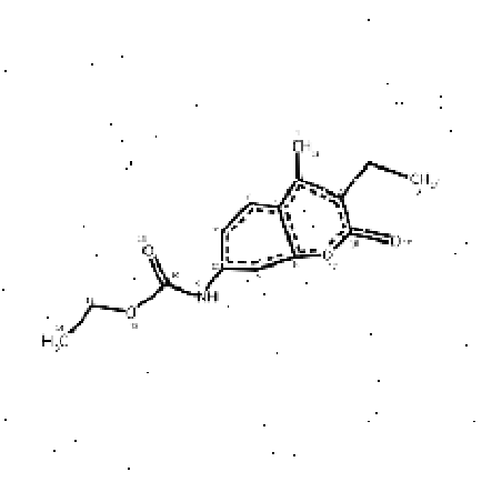 [CH2]Cc1c(C)c2ccc(NC(=O)OCC)cc2oc1=O